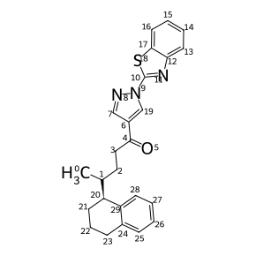 CC(CCC(=O)c1cnn(-c2nc3ccccc3s2)c1)[C@@H]1CCCc2ccccc21